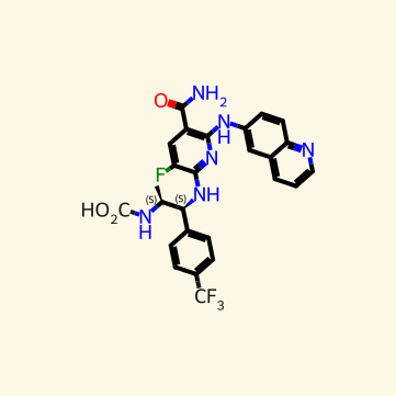 C[C@H](NC(=O)O)[C@@H](Nc1nc(Nc2ccc3ncccc3c2)c(C(N)=O)cc1F)c1ccc(C(F)(F)F)cc1